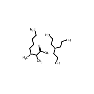 CCCCCN(C)C(C)C(=O)O.OCCN(CCO)CCO